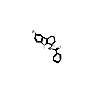 O=C(N[C@@H]1CCCc2c1[nH]c1ccc(Br)cc21)c1ccccc1